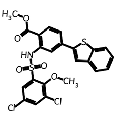 COC(=O)c1ccc(-c2cc3ccccc3s2)cc1NS(=O)(=O)c1cc(Cl)cc(Cl)c1OC